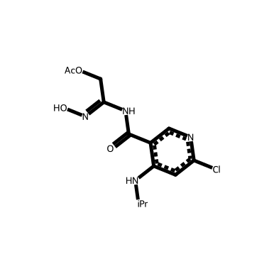 CC(=O)OCC(=NO)NC(=O)c1cnc(Cl)cc1NC(C)C